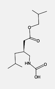 CC(C)COC(=O)C[C@@H](CNC(=O)O)CC(C)C